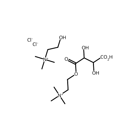 C[N+](C)(C)CCO.C[N+](C)(C)CCOC(=O)C(O)C(O)C(=O)O.[Cl-].[Cl-]